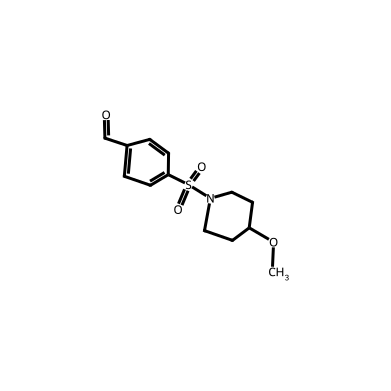 COC1CCN(S(=O)(=O)c2ccc(C=O)cc2)CC1